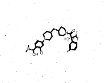 CN(C)C(O)c1ccc(N2CCC(CC3CCN(C(=O)[C@](O)(c4cccc(F)c4)C(F)F)CC3)CC2)cc1Cl